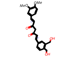 COc1ccc(/C=C/C(=O)CC(=O)/C=C/c2ccc(CO)c(CO)c2)cc1OC